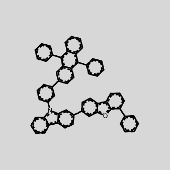 c1ccc(-c2c3ccccc3c(-c3ccccc3)c3cc(-c4cccc(-n5c6ccccc6c6ccc(-c7ccc8c(c7)oc7c(-c9ccccc9)cccc78)cc65)c4)ccc23)cc1